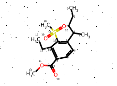 CCCC(C)c1ccc(C(=O)OC)c(CC)c1S(C)(=O)=O